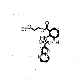 CCOCCOC(=O)c1cccc(C)c1NS(=O)(=O)c1nc2ncccn2n1